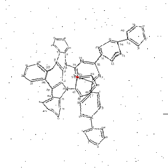 c1ccc(-c2ccc(-c3nc(-c4ccc(-c5ccccc5)cc4)nc(-n4c5ccccc5c5c6ccccc6c6c7ccccc7n(-c7ccccc7)c6c54)n3)cc2)cc1